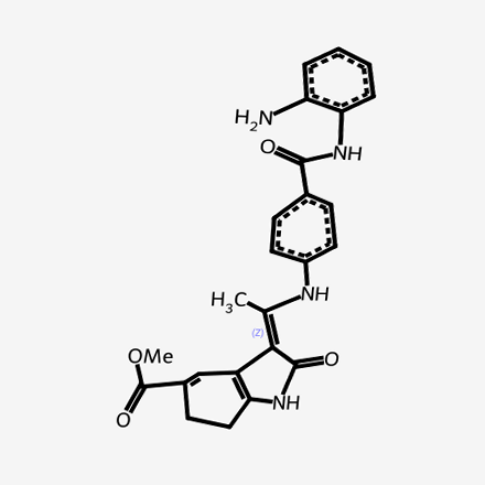 COC(=O)C1=CC2=C(CC1)NC(=O)/C2=C(/C)Nc1ccc(C(=O)Nc2ccccc2N)cc1